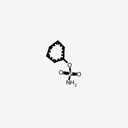 NS(=O)(=O)Oc1cc[c]cc1